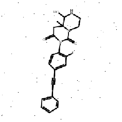 CC12CC(=O)N(c3ccc(C#Cc4ccccc4)cc3F)C(=O)N1CCNC2O